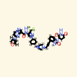 Cn1c(=O)n(C2CCC(=O)NC2=O)c2cccc(C#CCN3CCN(C[C@H]4CC[C@H](n5cc(NC(=O)c6cnn7ccc(N8C[C@@H]9C[C@H]8CO9)nc67)c(C(F)F)n5)CC4)CC3)c21